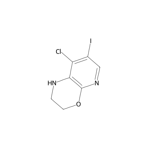 Clc1c(I)cnc2c1NCCO2